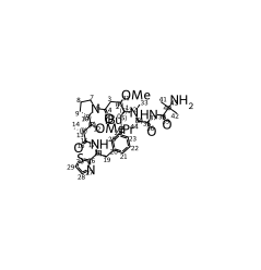 CC[C@H](C)[C@@H]([C@@H](CC(=O)N1CCC[C@H]1[C@H](OC)[C@@H](C)C(=O)N[C@@H](Cc1ccccc1)c1nccs1)OC)N(C)[C@H](C(=O)NC(=O)C(C)(C)N)C(C)C